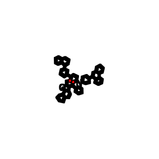 c1cc(-c2ccc(N(c3ccc(-c4cc5ccccc5c5ccccc45)cc3)c3ccccc3-c3cccc4oc5c6ccccc6ccc5c34)cc2)cc(-c2cccc3ccccc23)c1